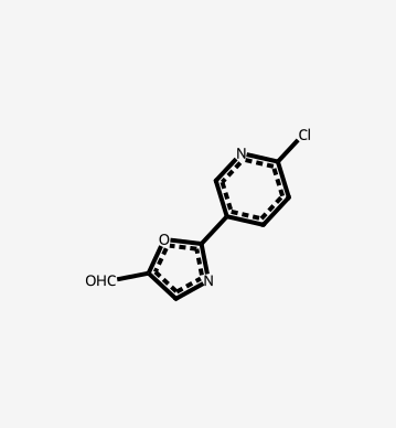 O=Cc1cnc(-c2ccc(Cl)nc2)o1